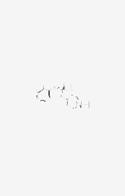 CCN(Cc1ccncc1)CC1CCNCC1